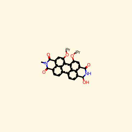 CC(C)Oc1cc2c3c(ccc4c5ccc6c7c(cc(OC(C)C)c(c1c34)c75)C(=O)NC6O)C(=O)N(C)C2=O